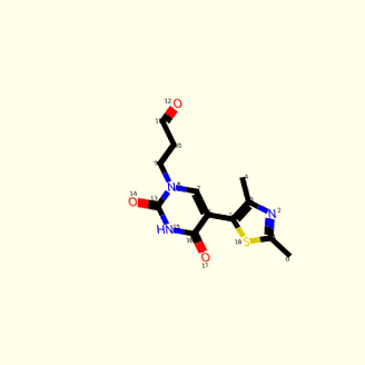 Cc1nc(C)c(-c2cn(CCC=O)c(=O)[nH]c2=O)s1